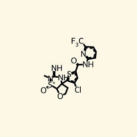 CN1C(=N)NC2(c3sc(C(=O)Nc4cccc(C(F)(F)F)n4)cc3Cl)CCOC2[S+]1[O-]